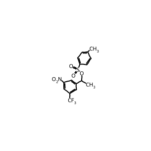 Cc1ccc(S(=O)(=O)OC(C)c2cc([N+](=O)[O-])cc(C(F)(F)F)c2)cc1